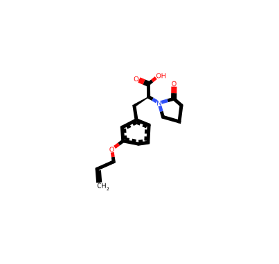 C=CCOc1cccc(C[C@@H](C(=O)O)N2CCCC2=O)c1